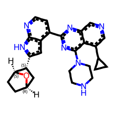 c1cc(-c2nc(N3CCNCC3)c3c(C4CC4)cncc3n2)c2cc([C@@H]3C[C@H]4CC[C@@H]3O4)[nH]c2n1